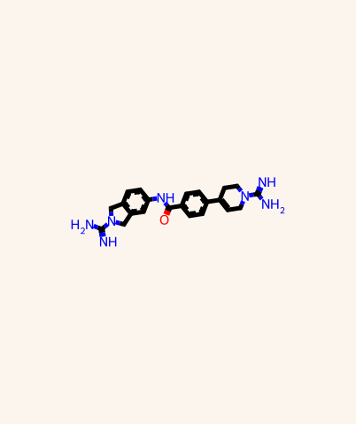 N=C(N)N1CC=C(c2ccc(C(=O)Nc3ccc4c(c3)CN(C(=N)N)C4)cc2)CC1